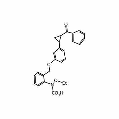 CCON(C(=O)O)c1ccccc1COc1cccc(C2CC2C(=O)c2ccccc2)c1